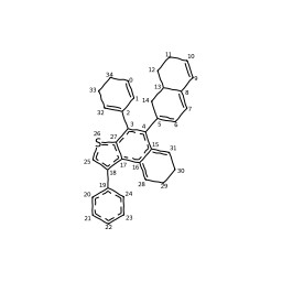 C1=CC(c2c(C3=CC=C4C=CCCC4C3)c3c(c4c(-c5ccccc5)csc24)=CCCC=3)=CCC1